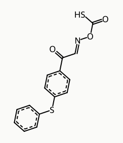 O=C(S)O/N=C/C(=O)c1ccc(Sc2ccccc2)cc1